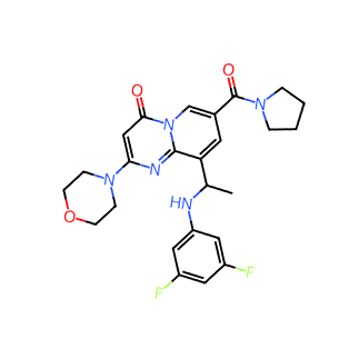 CC(Nc1cc(F)cc(F)c1)c1cc(C(=O)N2CCCC2)cn2c(=O)cc(N3CCOCC3)nc12